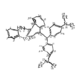 CCOC(=O)c1ccccc1Nc1ccc(C(c2ccc(N(CC)CC)cc2)c2ccc(N(CC)CC)cc2)c2ccccc12